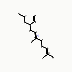 C=CC(C/C=C(\C)CCC=C(C)C)CCC